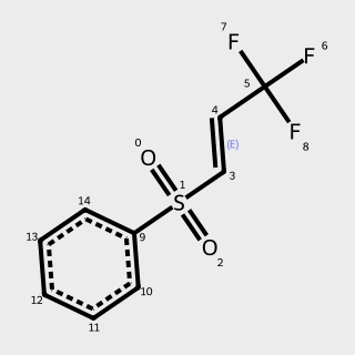 O=S(=O)(/C=C/C(F)(F)F)c1ccccc1